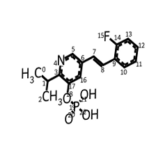 CC(C)c1ncc(/C=C/c2ccccc2F)cc1OP(=O)(O)O